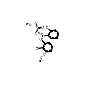 CO[Si](=O)[O-].[K+].[K+].[K+].[K+].[K+].[O-]c1ccccc1[O-].[O-]c1ccccc1[O-]